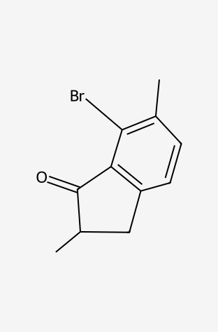 Cc1ccc2c(c1Br)C(=O)C(C)C2